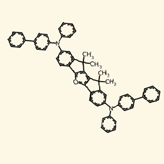 CC1(C)c2cc(N(c3ccccc3)c3ccc(-c4ccccc4)cc3)ccc2-c2oc3c(c21)C(C)(C)c1cc(N(c2ccccc2)c2ccc(-c4ccccc4)cc2)ccc1-3